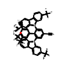 N#Cc1cc(-c2c(-n3c4cc(C(F)(F)F)ccc4c4ccc(C(F)(F)F)cc43)cc(C#N)cc2-n2c3cc(C(F)(F)F)ccc3c3ccc(C(F)(F)F)cc32)cc(C(F)(F)F)c1